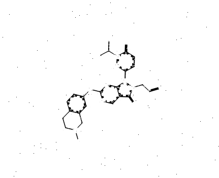 C=CCn1c(=O)c2cnc(Nc3ccc4c(c3)CN(C)CC4)nc2n1-c1ccc(=O)n(C(C)C)n1